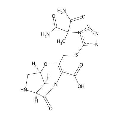 CC(C(N)=O)(C(N)=O)n1nnnc1SCC1=C(C(=O)O)N2C(=O)[C@H]3NC[C@@H](O1)[C@H]32